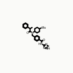 CC(C(=O)N(Cc1ccc(C(=O)Nc2nn[nH]n2)cc1)C1CCC(C(C)(C)C)CC1)c1ccccc1